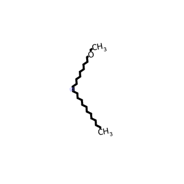 CCCCCCCCCCCC/C=C\CCCCCCCCOCC